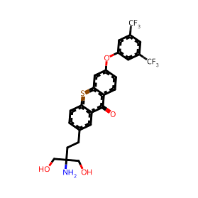 NC(CO)(CO)CCc1ccc2sc3cc(Oc4cc(C(F)(F)F)cc(C(F)(F)F)c4)ccc3c(=O)c2c1